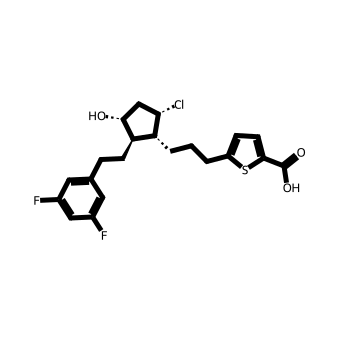 O=C(O)c1ccc(CCC[C@@H]2[C@@H](CCc3cc(F)cc(F)c3)[C@H](O)C[C@@H]2Cl)s1